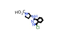 O=C(O)N1CC[C@H](Nc2nnc(Cl)c3ccccc23)C1